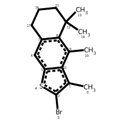 Cc1c(Br)sc2cc3c(c(C)c12)C(C)(C)CCC3